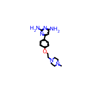 CN1CCN(CCOc2ccc(-c3cc(N)nc(N)n3)cc2)CC1